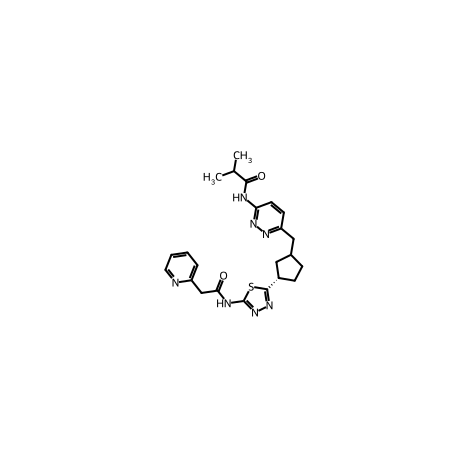 CC(C)C(=O)Nc1ccc(CC2CC[C@H](c3nnc(NC(=O)Cc4ccccn4)s3)C2)nn1